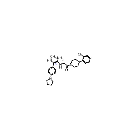 CN/C(=C(\N)NCC(=O)N1CCN(c2ccncc2Cl)CC1)c1ccc(N2CCCC2)cc1